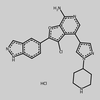 Cl.Nc1ncc(-c2cnn(C3CCNCC3)c2)c2c(Cl)c(-c3ccc4[nH]ncc4c3)oc12